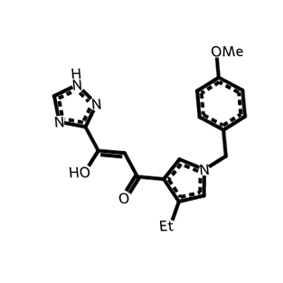 CCc1cn(Cc2ccc(OC)cc2)cc1C(=O)C=C(O)c1nc[nH]n1